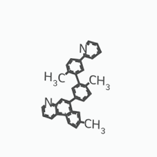 Cc1ccc2c(c1)c(-c1ccc(C)c(-c3cc(-c4ccccn4)ccc3C)c1)cc1ncccc12